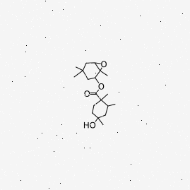 CC1CC(C)(O)CCC1(C)C(=O)OC1CC(C)(C)CC2OC12C